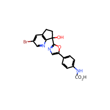 O=C(O)Nc1ccc(-c2cnc(C3(O)CCc4cc(Br)cnc43)o2)cc1